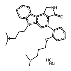 CN(C)CCCOc1ccccc1-c1cc2c(c3c1C(=O)NC3)c1ccccc1n2CCCN(C)C.Cl.Cl